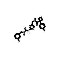 CN(Cc1csc(NC(=O)NCc2cccc(F)c2)n1)C(=O)C1(c2ccc(F)cc2)CCC1